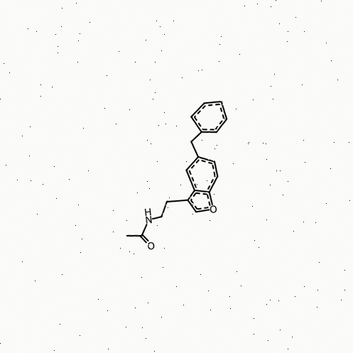 CC(=O)NCCc1coc2ccc(Cc3ccccc3)cc12